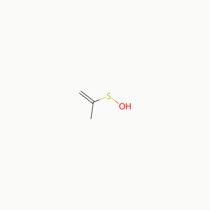 C=C(C)SO